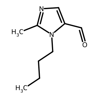 CCCCn1c(C=O)cnc1C